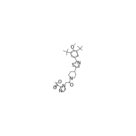 COc1c(C(C)(C)C)cc(-c2ncc(C3CCN(C(=O)Cn4ccnc4S(C)(=O)=O)CC3)s2)cc1C(C)(C)C